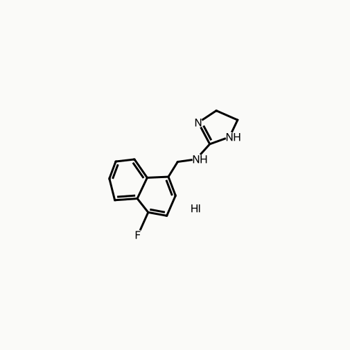 Fc1ccc(CNC2=NCCN2)c2ccccc12.I